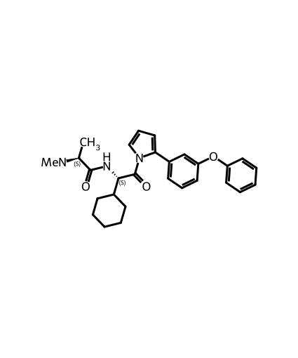 CN[C@@H](C)C(=O)N[C@H](C(=O)n1cccc1-c1cccc(Oc2ccccc2)c1)C1CCCCC1